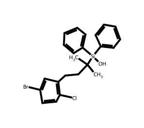 CC(C)(CCc1cc(Br)ccc1Cl)[Si](O)(c1ccccc1)c1ccccc1